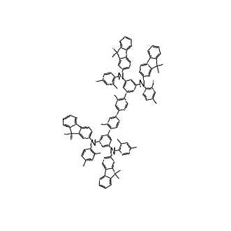 Cc1ccc(N(c2cc(-c3ccc(-c4ccc(-c5cc(N(c6ccc7c(c6)C(C)(C)c6ccccc6-7)c6ccc(C)cc6C)cc(N(c6ccc7c(c6)C(C)(C)c6ccccc6-7)c6ccc(C)cc6C)c5)c(C)c4)cc3C)cc(N(c3ccc4c(c3)C(C)(C)c3ccccc3-4)c3ccc(C)cc3C)c2)c2ccc3c(c2)C(C)(C)c2ccccc2-3)c(C)c1